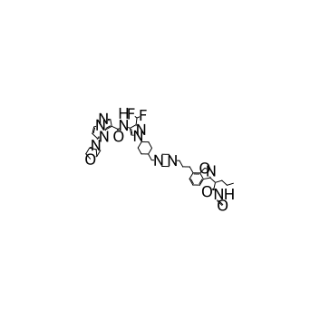 CCCC(C(=O)NC=O)c1noc2c(CCCN3CCN(CC4CCC(n5cc(NC(=O)c6cnn7ccc(N8CC9CC8CO9)nc67)c(C(F)F)n5)CC4)CC3)cccc12